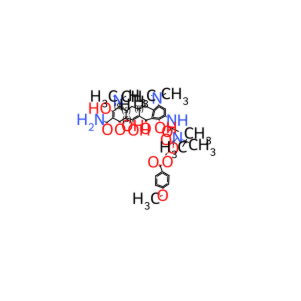 COc1ccc(C(=O)OCOC(=O)N(CC(=O)Nc2cc(N(C)C)c3c(c2O)C(=O)C2=C(O)[C@]4(O)C(=O)C(C(N)=O)=C(O)[C@@H](N(C)C)[C@@H]4C[C@@H]2C3)C(C)(C)C)cc1